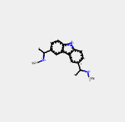 CNNC(C)c1ccc2[nH]c3ccc(C(C)NNC)cc3c2c1